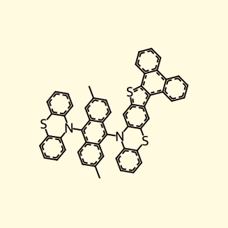 Cc1ccc2c(N3c4ccccc4Sc4cc5c(cc43)sc3c4ccccc4c4ccccc4c53)c3cc(C)ccc3c(N3c4ccccc4Sc4ccccc43)c2c1